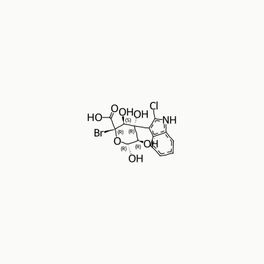 O=C(O)[C@@]1(Br)O[C@@H](O)[C@H](O)[C@](O)(c2c(Cl)[nH]c3ccccc23)[C@@H]1O